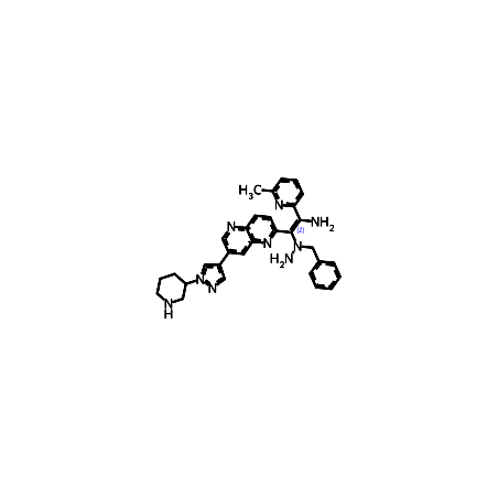 Cc1cccc(/C(N)=C(\c2ccc3ncc(-c4cnn(C5CCCNC5)c4)cc3n2)N(N)Cc2ccccc2)n1